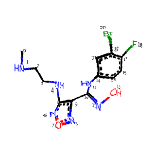 CNCCNc1nonc1/C(=N/O)Nc1ccc(F)c(Br)c1